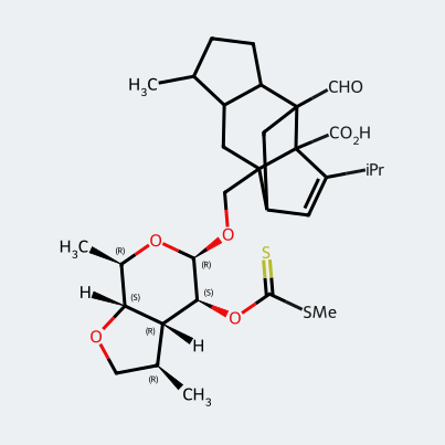 CSC(=S)O[C@@H]1[C@H](OCC23CC4C(C)CCC4C4(C=O)CC2C=C(C(C)C)C43C(=O)O)O[C@H](C)[C@H]2OC[C@H](C)[C@@H]12